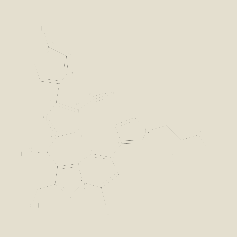 CCc1nn2c(C)cc(-c3cnn(C[C@@H](O)CO)c3)cc2c1N(C)c1nc(-c2ccc(F)cc2)c(C#N)s1